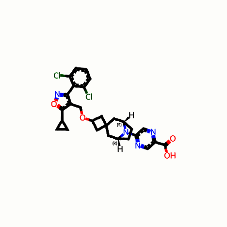 O=C(O)c1cnc(N2[C@@H]3CC[C@H]2CC2(CC(OCc4c(-c5c(Cl)cccc5Cl)noc4C4CC4)C2)C3)cn1